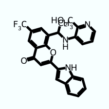 CC(Nc1cccnc1C(=O)O)c1cc(C(F)(F)F)cc2c(=O)cc(-c3cc4ccccc4[nH]3)oc12